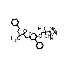 CN(CCc1ccccc1)C(=O)Cc1cc(-c2ccccc2)c(OCC(C)(C)c2nnn[nH]2)cn1